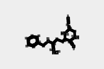 Cl.O=C=C1CNC(=O)C(CCC(=O)OCc2ccccc2)N1